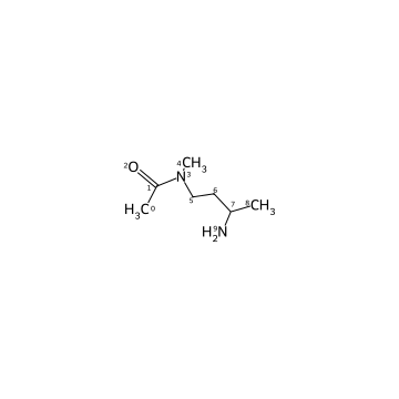 CC(=O)N(C)CCC(C)N